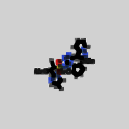 COc1cccc(OC)c1-n1c(NS(=O)(=O)C(C)C(OC)c2ncc(C)cn2)nnc1-c1cnn2ccccc12